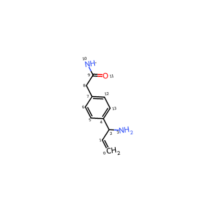 C=CC(N)c1ccc(CC([NH])=O)cc1